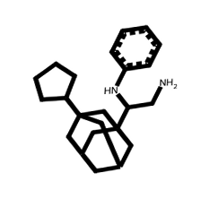 NCC(Nc1ccccc1)C12CC3CC(CC(C4CCCC4)(C3)C1)C2